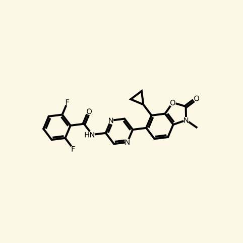 Cn1c(=O)oc2c(C3CC3)c(-c3cnc(NC(=O)c4c(F)cccc4F)cn3)ccc21